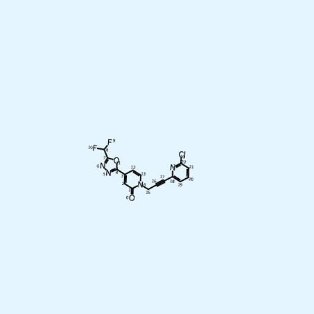 O=c1cc(-c2nnc(C(F)F)o2)ccn1CC#Cc1cccc(Cl)n1